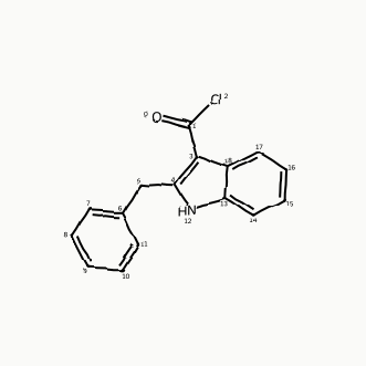 O=C(Cl)c1c(Cc2ccccc2)[nH]c2ccccc12